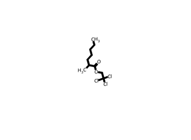 CCCCCC(C)C(=O)OCC(Cl)(Cl)Cl